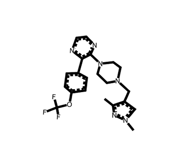 Cc1nn(C)cc1CN1CCN(c2nccnc2-c2ccc(OC(F)(F)F)cc2)CC1